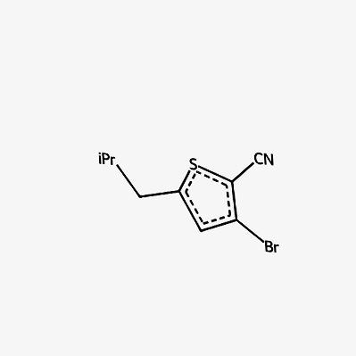 CC(C)Cc1cc(Br)c(C#N)s1